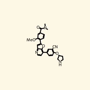 COc1cc(C(=O)N(C)C)ccc1-c1cc2nccc(-c3ccc(OC4CCNC4)c(C#N)c3)c2o1